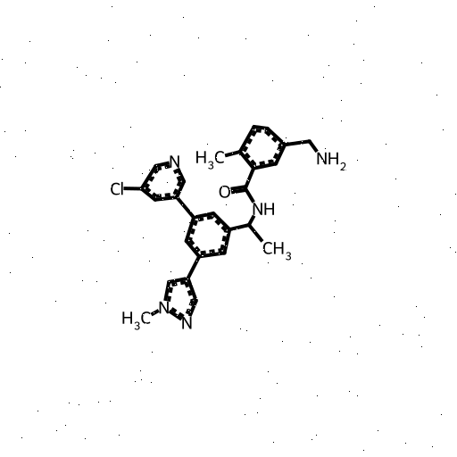 Cc1ccc(CN)cc1C(=O)NC(C)c1cc(-c2cncc(Cl)c2)cc(-c2cnn(C)c2)c1